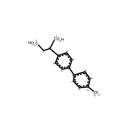 O=C(O)CC(C(=O)O)c1ccc(-c2ccc(C(F)(F)F)cc2)cc1